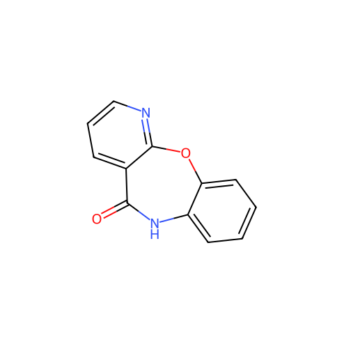 O=C1Nc2ccccc2Oc2ncccc21